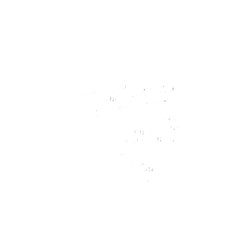 C=CC(=O)N1CCC(Oc2cc3c(Nc4cccc(N(C)C)c4)ncnc3cc2OC)CC1